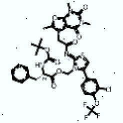 Cc1oc2c(c1CC(=O)/N=c1\scc(-c3ccc(OC(F)(F)F)c(Cl)c3)n1COC(=O)[C@H](Cc1ccccc1)NC(=O)OC(C)(C)C)c(=O)n(C)c(=O)n2C